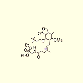 CCOP(=O)(CNC(=O)CC/C(C)=C/Cc1c(OC)c(C)c2c(c1OCC[Si](C)(C)C)C(=O)OC2)OCC